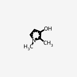 Cc1c(O)ccn1C